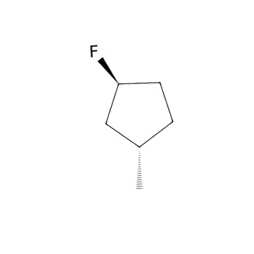 C[C@H]1CC[C@H](F)C1